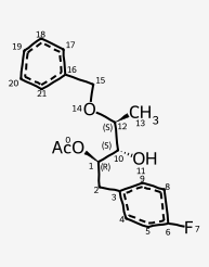 CC(=O)O[C@H](Cc1ccc(F)cc1)[C@@H](O)[C@H](C)OCc1ccccc1